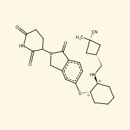 C[C@]1(C#N)C[C@@H](CN[C@H]2CCCC[C@@H]2Oc2ccc3c(c2)CN(C2CCC(=O)NC2=O)C3=O)C1